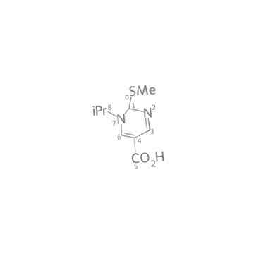 CSC1N=CC(C(=O)O)=CN1C(C)C